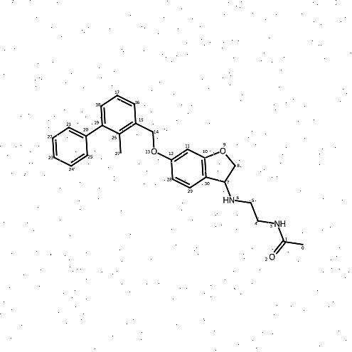 CC(=O)NCCNC1COc2cc(OCc3cccc(-c4ccccc4)c3C)ccc21